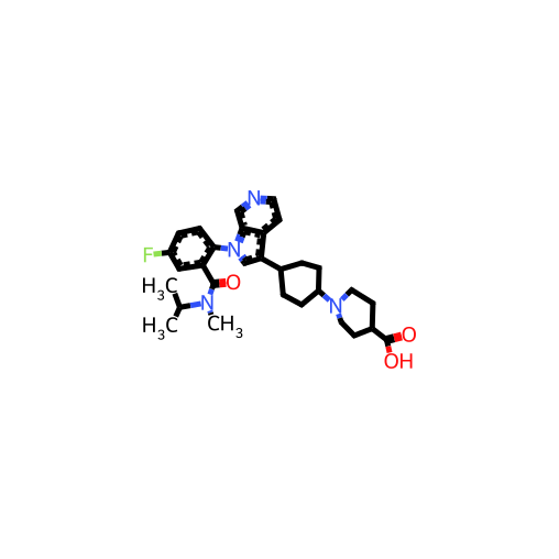 CC(C)N(C)C(=O)c1cc(F)ccc1-n1cc(C2CCC(N3CCC(C(=O)O)CC3)CC2)c2ccncc21